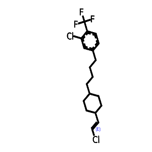 FC(F)(F)c1ccc(CCCCC2CCC(/C=C/Cl)CC2)cc1Cl